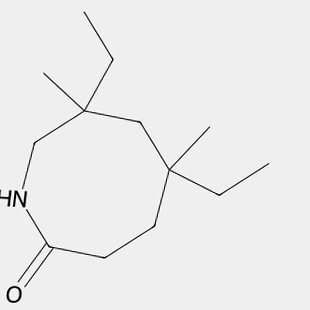 CCC1(C)CCC(=O)NCC(C)(CC)C1